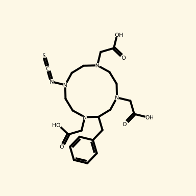 O=C(O)CN1CCN(CC(=O)O)CC(Cc2ccccc2)N(CC(=O)O)CCN(N=C=S)CC1